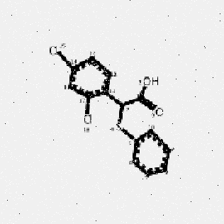 O=C(O)C(Sc1ccccc1)c1ccc(Cl)cc1Cl